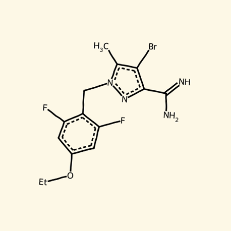 CCOc1cc(F)c(Cn2nc(C(=N)N)c(Br)c2C)c(F)c1